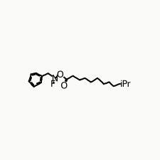 CC(C)CCCCCCCCC(=O)ON(F)Cc1ccccc1